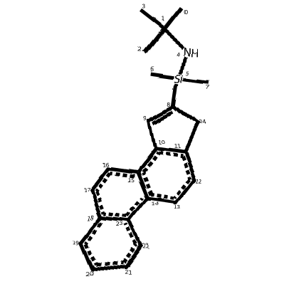 CC(C)(C)N[Si](C)(C)C1=Cc2c(ccc3c2ccc2ccccc23)C1